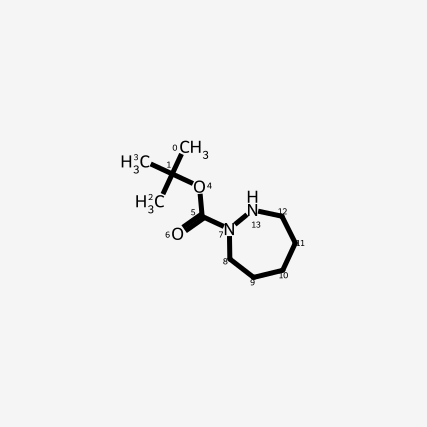 CC(C)(C)OC(=O)N1CCCCCN1